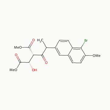 COC(=O)[C@H](C(=O)C(C)c1ccc2c(Br)c(OC)ccc2c1)[C@H](O)C(=O)OC